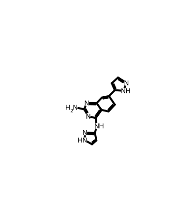 Nc1nc(Nc2cc[nH]n2)c2ccc(-c3ccn[nH]3)cc2n1